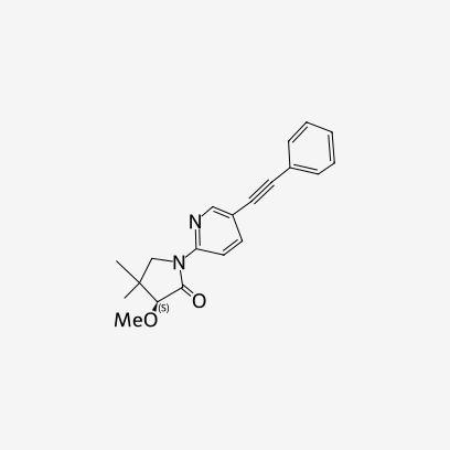 CO[C@@H]1C(=O)N(c2ccc(C#Cc3ccccc3)cn2)CC1(C)C